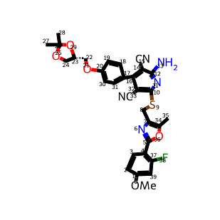 COc1ccc(-c2nc(CSc3nc(N)c(C#N)c(-c4ccc(OC[C@@H]5COC(C)(C)O5)cc4)c3C#N)c(C)o2)c(F)c1